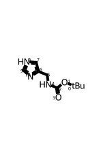 CC(C)(C)OC(=O)NCc1c[nH]cn1